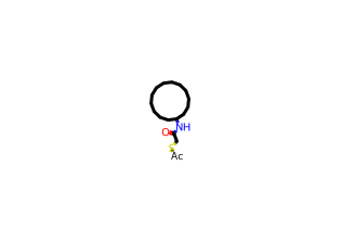 CC(=O)SCC(=O)NC1CCCCCCCCCCCCC1